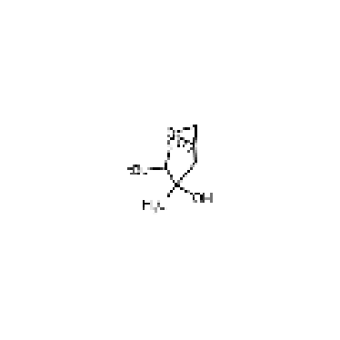 CC(C)(C)C(C(=O)O)C(C)(O)CC1CO1